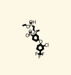 CCOP(O)CCN(C)c1cc(Oc2ccc(C(F)(F)F)cc2Cl)ccc1[N+](=O)[O-]